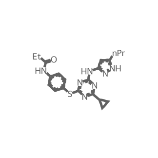 CCCc1cc(Nc2nc(Sc3ccc(NC(=O)CC)cc3)nc(C3CC3)n2)n[nH]1